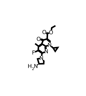 CCOC(=O)c1cn(C2CC2)c2nc(N3CC[C@H](N)C3)c(F)c(C)c2c1=O